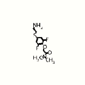 CN(C)C(=O)COc1c(F)cc(SCCN)cc1F